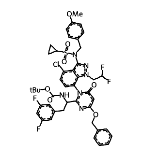 COc1ccc(CN(c2nn(CC(F)F)c3c(-n4c(C(Cc5cc(F)cc(F)c5)NC(=O)OC(C)(C)C)nc(OCc5ccccc5)cc4=O)ccc(Cl)c23)S(=O)(=O)C2CC2)cc1